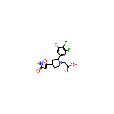 O=C(O)CN1CCC(c2cc(=O)[nH]o2)CC1c1cc(F)c(F)c(F)c1